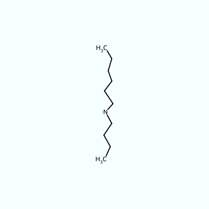 CCCCCC[N]CCCC